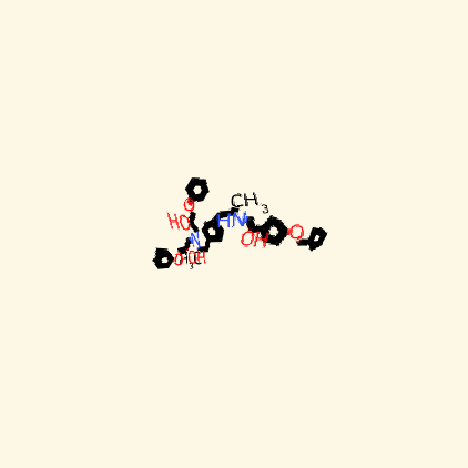 CC(Cc1ccc(CC(C)N(CC(O)COc2ccccc2)CC(O)COc2ccccc2)cc1)NCC(O)c1ccc(OCc2ccccc2)cc1